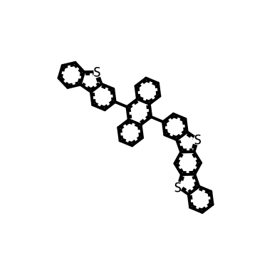 c1ccc2c(c1)sc1cc(-c3c4ccccc4c(-c4ccc5sc6cc7c(cc6c5c4)sc4ccccc47)c4ccccc34)ccc12